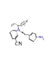 CCC(C(=O)O)N(CCc1ccc(N)cc1)c1cccc(C#N)c1